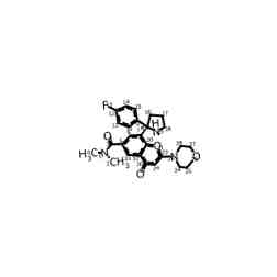 CN(C)C(=O)c1cc([C@@]2(c3ccc(F)cc3)CCCN2)c2oc(N3CCOCC3)cc(=O)c2c1